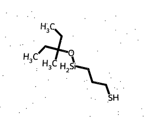 CCC(C)(CC)O[SiH2]CCCS